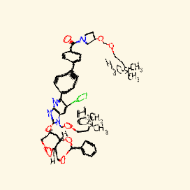 C[Si](C)(C)CCOCOC1CCN(C(=O)c2ccc(-c3ccc(-c4nc5nc(O[C@H]6CO[C@@H]7COC(c8ccccc8)O[C@H]7C6)n(COCC[Si](C)(C)C)c5cc4Cl)cc3)cc2)C1